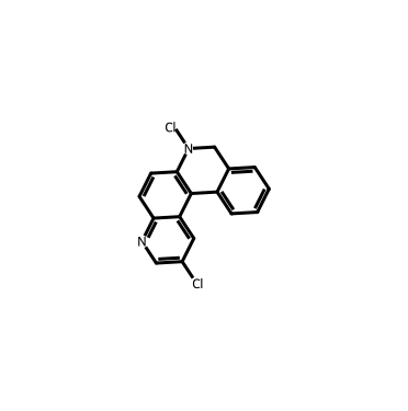 Clc1cnc2ccc3c(c2c1)-c1ccccc1CN3Cl